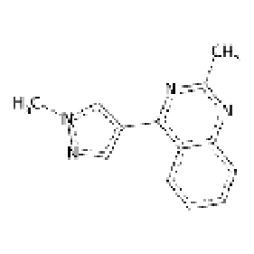 Cc1nc(-c2cnn(C)c2)c2ccccc2n1